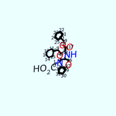 O=C(O)CN1C(=O)C(N[C@@H](CCC2CCCCC2)C(=O)OCc2ccccc2)COc2ccccc21